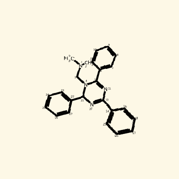 CN(C)CN1C(c2ccccc2)=NC(c2ccccc2)=NC1c1ccccc1